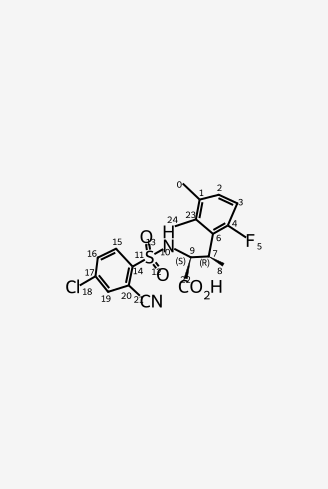 Cc1ccc(F)c([C@@H](C)[C@H](NS(=O)(=O)c2ccc(Cl)cc2C#N)C(=O)O)c1C